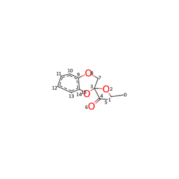 CCOC1(C(C)=O)COc2ccccc2O1